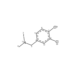 CN(I)Cc1ccc(Cl)c(Cl)c1